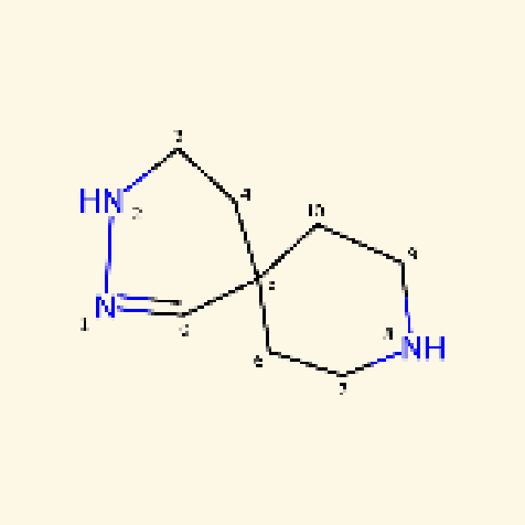 C1=NNCCC12CCNCC2